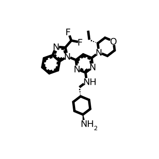 CC[C@@H]1COCCN1c1cc(-n2c(C(F)F)nc3ccccc32)nc(NC[C@H]2CC[C@H](N)CC2)n1